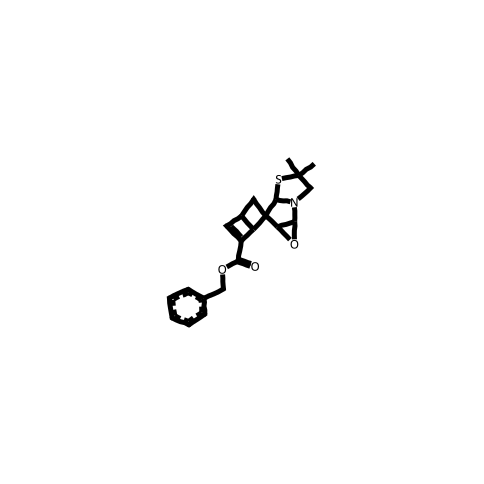 CC1(C)CN2C3OC3C3(CC4C=C(C(=O)OCc5ccccc5)C43)C2S1